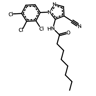 CCCCCCCC(=O)Nc1c(C#N)cnn1-c1ccc(Cl)c(Cl)c1Cl